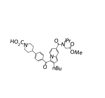 CCCCc1cc2cc(C(=O)N(CC(=O)OC)C(C)C)ccn2c1C(=O)c1ccc(C2CCN(C(=O)O)CC2)cc1